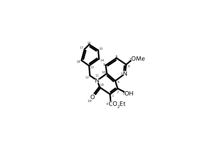 CCOC(=O)c1c(O)c2nc(OC)ccc2n(Cc2ccccc2)c1=O